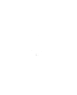 CC(C)CC1CC(CC2CCN(CC(C)C)CC2)C1